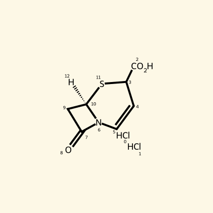 Cl.Cl.O=C(O)C1C=CN2C(=O)C[C@H]2S1